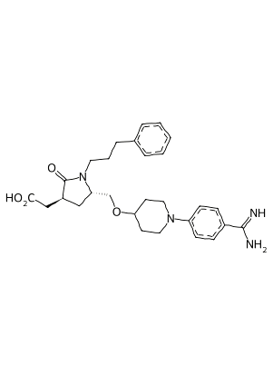 N=C(N)c1ccc(N2CCC(OC[C@@H]3C[C@@H](CC(=O)O)C(=O)N3CCCc3ccccc3)CC2)cc1